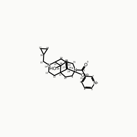 O=C(c1cccnc1)N1CCC23CCN(CC4CC4)C(Cc4ccc(O)cc42)C3(O)CC1